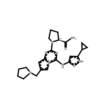 NC(=O)[C@@H]1CCCN1c1nc(Nc2cc(C3CC3)[nH]n2)n2cc(CN3CCCC3)cc2n1